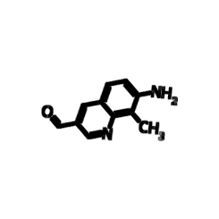 Cc1c(N)ccc2cc(C=O)cnc12